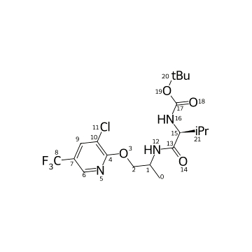 CC(COc1ncc(C(F)(F)F)cc1Cl)NC(=O)[C@@H](NC(=O)OC(C)(C)C)C(C)C